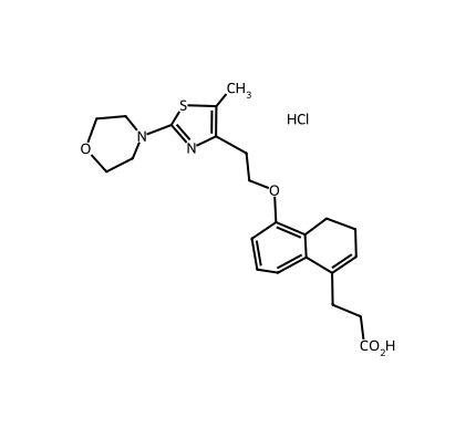 Cc1sc(N2CCOCC2)nc1CCOc1cccc2c1CCC=C2CCC(=O)O.Cl